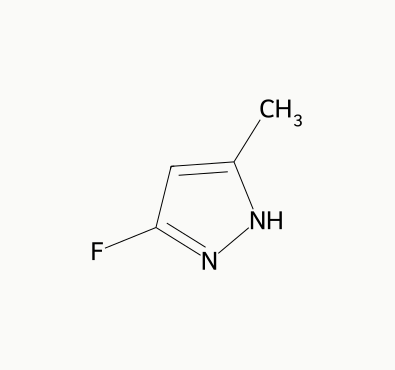 Cc1cc(F)n[nH]1